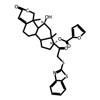 CC12CCC(=O)C=C1CCC1C2[C@@H](O)CC2(C)C1CC[C@]2(OC(=O)c1ccco1)C(=O)CSc1nc2ccccc2s1